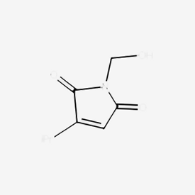 CC(C)C1=CC(=O)N(CO)C1=O